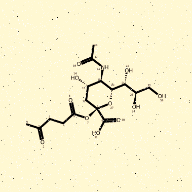 CC(=O)CCC(=O)O[C@@]1(C(=O)O)C[C@H](O)[C@@H](NC(C)=O)[C@H]([C@H](O)[C@H](O)CO)O1